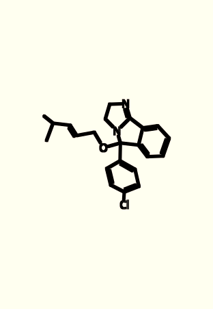 CC(C)/C=C/COC1(c2ccc(Cl)cc2)c2ccccc2C2=NCCN21